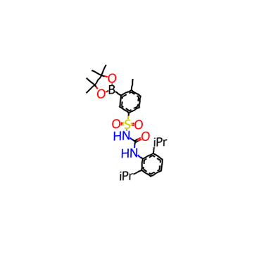 Cc1ccc(S(=O)(=O)NC(=O)Nc2c(C(C)C)cccc2C(C)C)cc1B1OC(C)(C)C(C)(C)O1